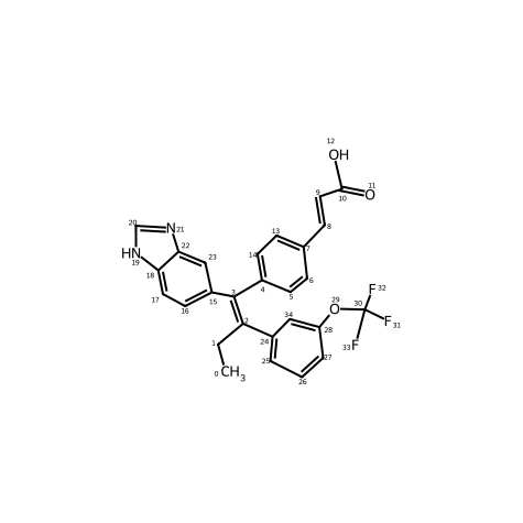 CC/C(=C(/c1ccc(/C=C/C(=O)O)cc1)c1ccc2[nH]cnc2c1)c1cccc(OC(F)(F)F)c1